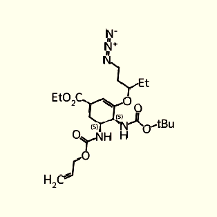 C=CCOC(=O)N[C@H]1CC(C(=O)OCC)C=C(OC(CC)CCN=[N+]=[N-])[C@H]1NC(=O)OC(C)(C)C